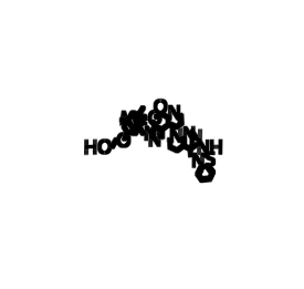 COC(=O)c1nccc(N2CCCc3c2nnc(Nc2nc4ccccc4s2)c3C)c1-c1cnn(CC23CC4(C)CC(C)(C2)CC(OCCO)(C4)C3)c1C